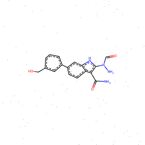 NC(=O)c1c(N(N)C=O)[nH]c2cc(-c3cccc(CO)c3)ccc12